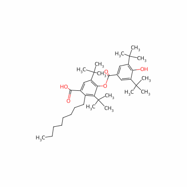 CCCCCCCCc1c(C(=O)O)cc(C(C)(C)C)c(OC(=O)c2cc(C(C)(C)C)c(O)c(C(C)(C)C)c2)c1C(C)(C)C